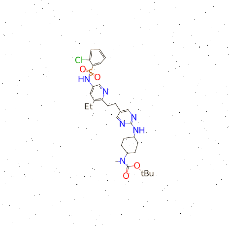 CCc1cc(NS(=O)(=O)c2ccccc2Cl)cnc1CCc1cnc(NC2CCC(N(C)C(=O)OC(C)(C)C)CC2)nc1